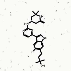 C=C1CC(Nc2nccc(-c3c[nH]c4cc(CCC(C)(C)O)c(F)cc34)n2)CC(C)(C)N1